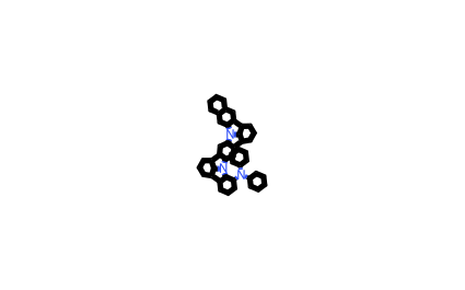 c1ccc(N(c2ccccc2)c2cccc3c4cccc5c6cc7c(cc6n(c23)c54)c2cccc3c4cc5ccccc5cc4n7c32)cc1